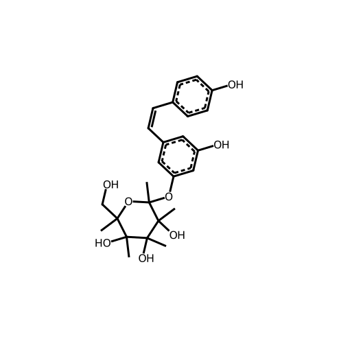 CC1(CO)OC(C)(Oc2cc(O)cc(/C=C\c3ccc(O)cc3)c2)C(C)(O)C(C)(O)C1(C)O